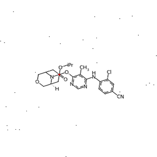 Cc1c(Nc2ccc(C#N)cc2Cl)ncnc1OC1CC2COC[C@H](C1)N2C(=O)OC(C)C